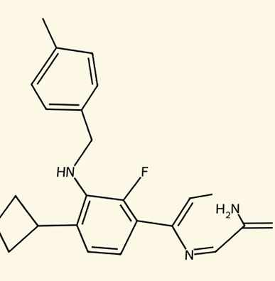 C=C(N)/C=N\C(=C/C)c1ccc(C2CCC2)c(NCc2ccc(C)cc2)c1F